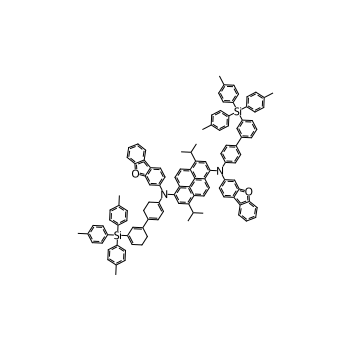 Cc1ccc([Si](C2=CCCC(C3=CC=C(N(c4ccc5c(c4)oc4ccccc45)c4cc(C(C)C)c5ccc6c(N(c7ccc(-c8cccc([Si](c9ccc(C)cc9)(c9ccc(C)cc9)c9ccc(C)cc9)c8)cc7)c7ccc8c(c7)oc7ccccc78)cc(C(C)C)c7ccc4c5c76)CC3)=C2)(c2ccc(C)cc2)c2ccc(C)cc2)cc1